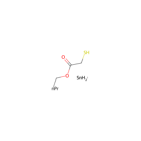 CCCCOC(=O)CS.[SnH2]